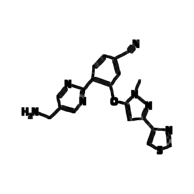 Cn1nc(-c2cscn2)cc1Oc1cc(C#N)ccc1-c1ncc(CN)cn1